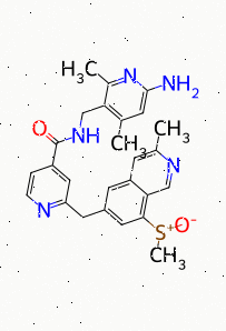 Cc1cc2cc(Cc3cc(C(=O)NCc4c(C)cc(N)nc4C)ccn3)cc([S+](C)[O-])c2cn1